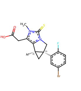 Cn1c(CC(=O)O)c2n(c1=S)C[C@@]1(c3cc(Br)ccc3F)C[C@@H]21